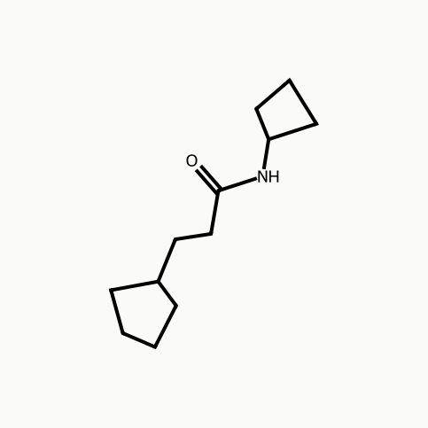 O=C(CCC1CCCC1)NC1CCC1